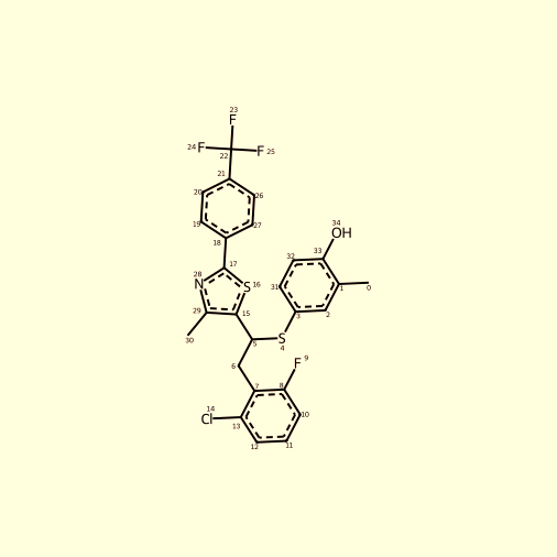 Cc1cc(SC(Cc2c(F)cccc2Cl)c2sc(-c3ccc(C(F)(F)F)cc3)nc2C)ccc1O